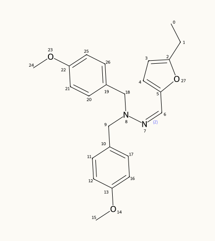 CCc1ccc(/C=N\N(Cc2ccc(OC)cc2)Cc2ccc(OC)cc2)o1